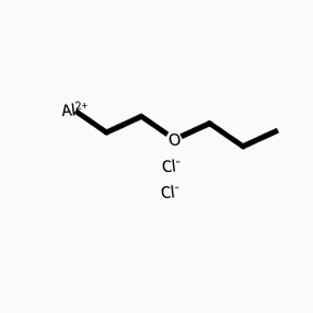 CCCOC[CH2][Al+2].[Cl-].[Cl-]